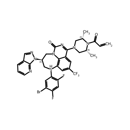 C=CC(=O)N1[C@H](C)CN(c2nc(=O)n3c4c(cc(C(F)(F)F)cc24)[SH](c2cc(Br)c(F)cc2F)C[C@@H](n2ncc4cccnc42)C3)C[C@@H]1C